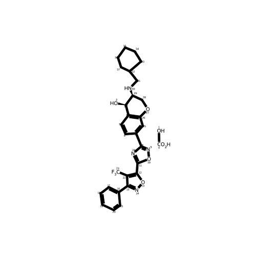 O=C(O)O.O[C@@H]1c2ccc(-c3noc(-c4onc(-c5ccccc5)c4C(F)(F)F)n3)cc2OC[C@@H]1NCC1CCCCC1